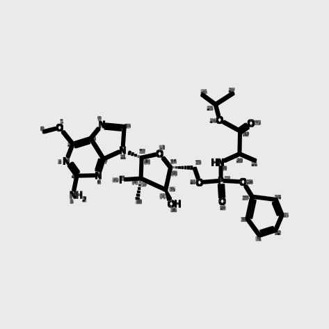 COc1nc(N)nc2c1ncn2[C@@H]1O[C@H](COP(=O)(NC(C)C(=O)OC(C)C)Oc2ccccc2)[C@@H](O)[C@@]1(C)F